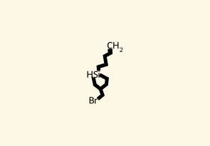 C=CCCC[SiH]1CCC(CBr)CC1